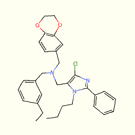 CCCCn1c(-c2ccccc2)nc(Cl)c1CN(Cc1cccc(CC)c1)Cc1ccc2c(c1)OCCO2